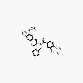 COc1cc(C(=O)N(Cc2ccccc2)C2=Cc3cc(OC)c(OC)cc3CC2)ccc1C